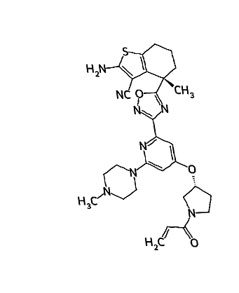 C=CC(=O)N1CC[C@@H](Oc2cc(-c3noc([C@@]4(C)CCCc5sc(N)c(C#N)c54)n3)nc(N3CCN(C)CC3)c2)C1